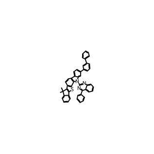 CC1(C)c2ccccc2-c2sc3c(ccc4c5ccc(-c6cccc(-c7ccccc7)c6)cc5n(-c5nc(-c6ccccc6)c6ccccc6n5)c43)c21